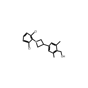 Cc1cc(C2CN(c3c(Cl)cccc3Cl)C2)cc(C)c1CO